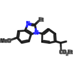 CCOC(=O)C(C)c1ccc(-n2c(CC)nc3cc(OC)ccc32)cc1